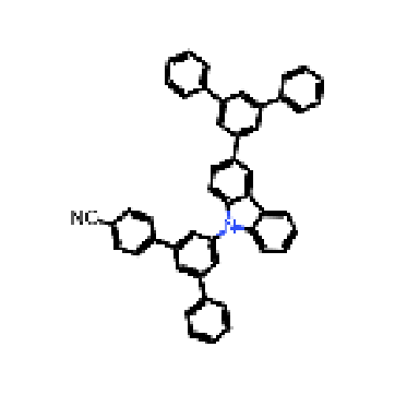 N#Cc1ccc(-c2cc(-c3ccccc3)cc(-n3c4ccccc4c4cc(-c5cc(-c6ccccc6)cc(-c6ccccc6)c5)ccc43)c2)cc1